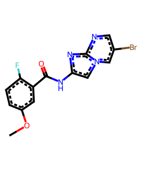 COc1ccc(F)c(C(=O)Nc2cn3cc(Br)cnc3n2)c1